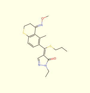 CCCS/C(=C1/C=NN(CC)C1=O)c1ccc2c(c1C)/C(=N/OC)CCS2